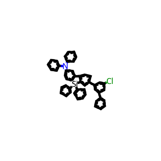 Clc1cc(-c2ccccc2)cc(-c2ccc3c(c2)[Si](c2ccccc2)(c2ccccc2)c2ccc(N(c4ccccc4)c4ccccc4)cc2-3)c1